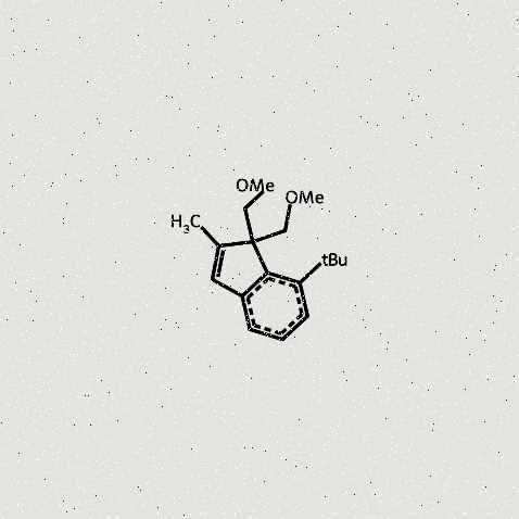 COCC1(COC)C(C)=Cc2cccc(C(C)(C)C)c21